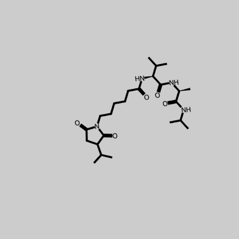 CC(C)NC(=O)[C@H](C)NC(=O)[C@@H](NC(=O)CCCCCN1C(=O)CC(C(C)C)C1=O)C(C)C